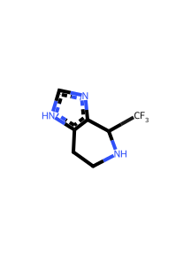 FC(F)(F)C1NCCc2[nH]cnc21